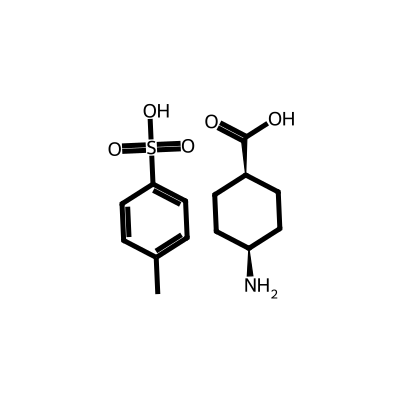 Cc1ccc(S(=O)(=O)O)cc1.N[C@H]1CC[C@@H](C(=O)O)CC1